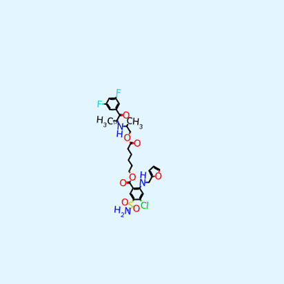 CC(COC(=O)CCCCCOC(=O)c1cc(S(N)(=O)=O)c(Cl)cc1NCc1ccco1)N[C@@H](C)C(=O)c1cc(F)cc(F)c1